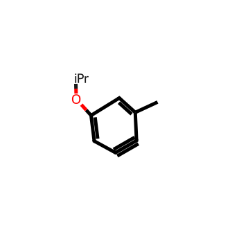 Cc1c#ccc(OC(C)C)c1